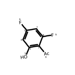 CC(=O)c1c(O)cc(F)cc1F